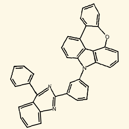 c1ccc(-c2nc(-c3cccc(-n4c5cccc6oc7ccccc7c7cccc4c7c65)c3)nc3ccccc23)cc1